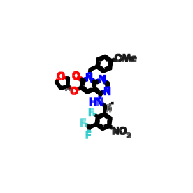 COc1ccc(Cn2c(=O)c(O[C@H]3CCOC3)cc3c(N[C@H](C)c4cc([N+](=O)[O-])cc(C(F)F)c4F)ncnc32)cc1